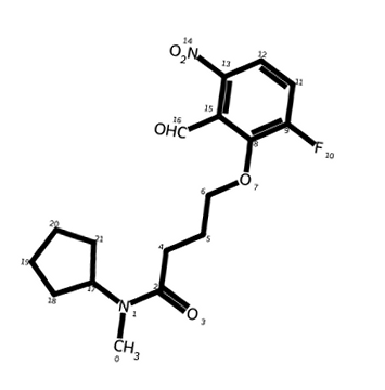 CN(C(=O)CCCOc1c(F)ccc([N+](=O)[O-])c1C=O)C1CCCC1